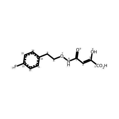 O=C(C=C(O)C(=O)O)NOCCc1ccc(F)cc1